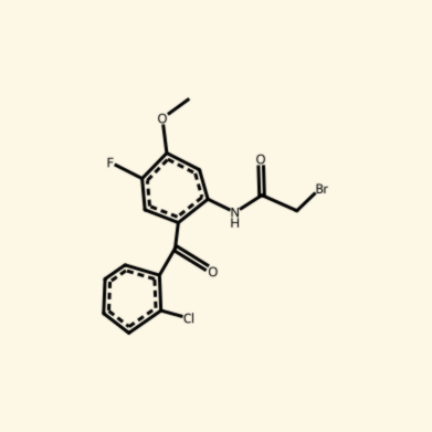 COc1cc(NC(=O)CBr)c(C(=O)c2ccccc2Cl)cc1F